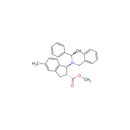 COC(=O)[C@@H]1Cc2cc(C)ccc2[C@H]1N(Cc1ccccc1)[C@H](C)c1ccccc1